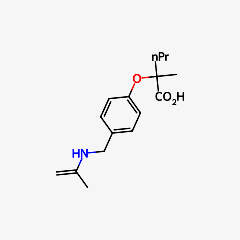 C=C(C)NCc1ccc(OC(C)(CCC)C(=O)O)cc1